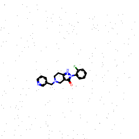 O=c1c2c([nH]n1-c1ccccc1F)CCN(Cc1cccnc1)C2